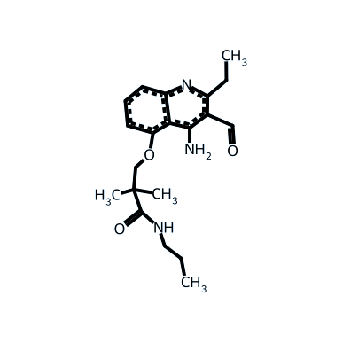 CCCNC(=O)C(C)(C)COc1cccc2nc(CC)c(C=O)c(N)c12